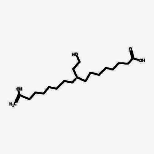 C=C(O)CCCCCCCN(CCO)CCCCCCCC(=O)O